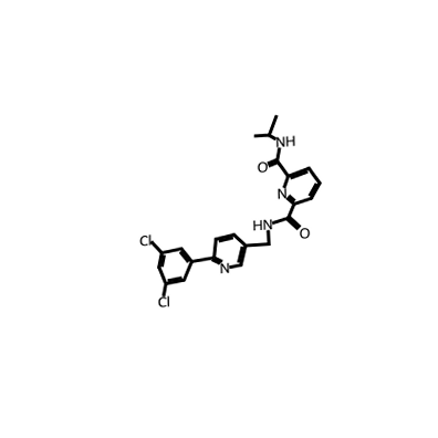 CC(C)NC(=O)c1cccc(C(=O)NCc2ccc(-c3cc(Cl)cc(Cl)c3)nc2)n1